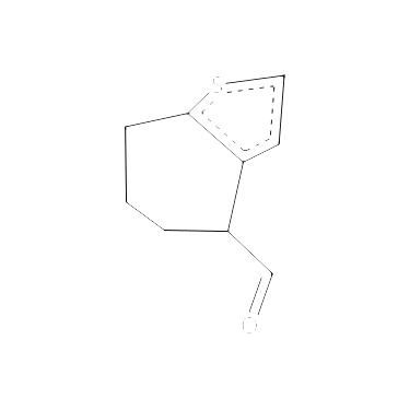 O=CC1CCCc2sccc21